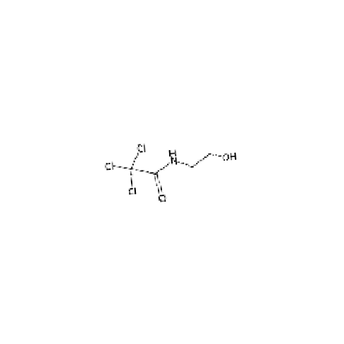 O=C(NCCO)C(Cl)(Cl)Cl